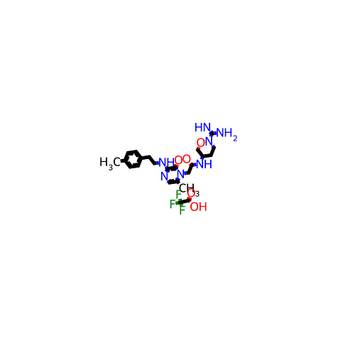 Cc1ccc(CCNc2ncc(C)n(CC(=O)NC3CCN(C(=N)N)OC3)c2=O)cc1.O=C(O)C(F)(F)F